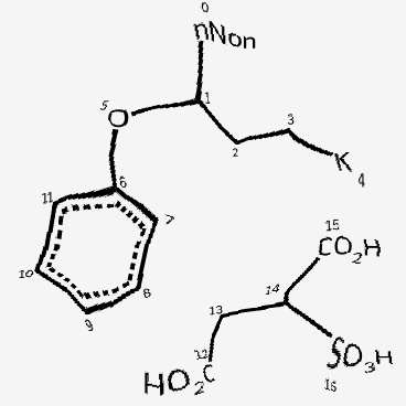 CCCCCCCCCC(C[CH2][K])Oc1ccccc1.O=C(O)CC(C(=O)O)S(=O)(=O)O